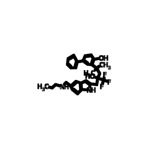 CCCNCc1ccc2[nH]c(CC(O)(CC(C)(C)c3cc(-c4ccccc4)ccc3O)C(F)(F)F)cc2c1